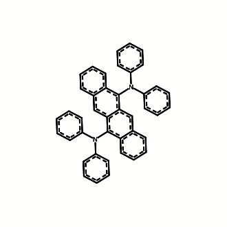 c1ccc(N(c2ccccc2)c2c3ccccc3cc3c(N(c4ccccc4)c4ccccc4)c4ccccc4cc23)cc1